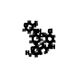 C=C(Nc1ccc(Cl)c(Cl)c1)/C(C)=C(\N=C/N)C(=O)N1CCC(N[C@H]2CCOC[C@H]2F)CC1